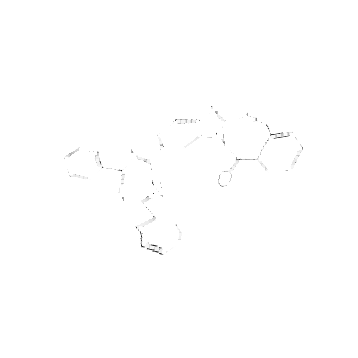 O=c1c2ccccc2sc2nc3ccc(-c4nc(-c5ccccc5)nc(-c5ccccc5)n4)cc3n12